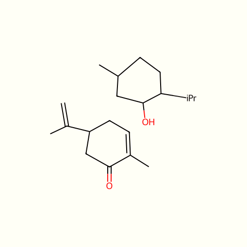 C=C(C)C1CC=C(C)C(=O)C1.CC1CCC(C(C)C)C(O)C1